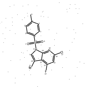 Cc1ccc(S(=O)(=O)n2cc(Br)c3c(F)cc(Cl)nc32)cc1